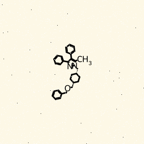 Cc1c(-c2ccccc2)c(-c2ccccc2)nn1C[C@H]1CC[C@H](COCc2ccccc2)CC1